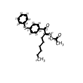 CCCCCC/C(=N\OC(C)=O)C(=O)c1ccc(Sc2ccccc2)cc1